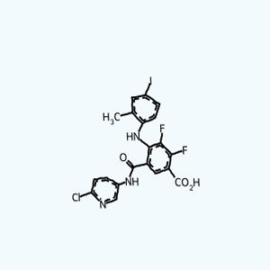 Cc1cc(I)ccc1Nc1c(C(=O)Nc2ccc(Cl)nc2)cc(C(=O)O)c(F)c1F